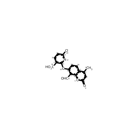 Cc1cc(=O)oc2c(C=O)c(Oc3nc(Cl)ccc3C(=O)O)ccc12